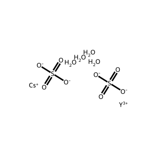 O.O.O.O.O=S(=O)([O-])[O-].O=S(=O)([O-])[O-].[Cs+].[Y+3]